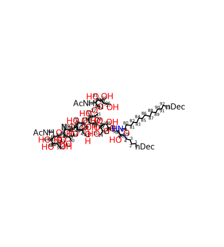 CCCCCCCCCCCCC/C=C/[C@@H](O)[C@H](CO[C@@H]1OC(CO)[C@@H](O[C@@H]2OC(CO[C@@H]3OC(CO)[C@@H](O)[C@H](O)C3NC(C)=O)[C@H](O)[C@H](O[C@H]3OC(CO)[C@H](O)[C@H](O[C@@H]4OC(CO)[C@H](O)[C@H](O[C@H]5OC(CO)[C@H](O)[C@H](O)C5NC(C)=O)C4NC(C)=O)C3O)C2O)[C@H](O)C1O)NC(=O)CCCCCCCCCCCCCCCCCCCCCCC